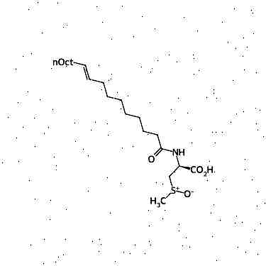 CCCCCCCCC=CCCCCCCCC(=O)N[C@H](C[S+](C)[O-])C(=O)O